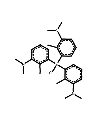 Cc1c(N(C)C)cccc1[Si](Cl)(c1cccc(N(C)C)c1C)c1cccc(N(C)C)c1C